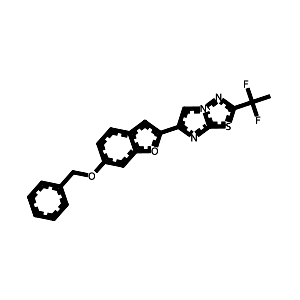 CC(F)(F)c1nn2cc(-c3cc4ccc(OCc5ccccc5)cc4o3)nc2s1